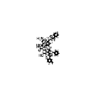 CNC(=O)[C@H](CCN(C(=O)CO)[C@@H](c1cc(-c2cc(F)ccc2F)cn1Cc1ccccc1)C(C)(C)C)NC(O)[C@H](CC(N)=O)NC(=O)[C@H](C)N(C)C(=O)[C@H](C)NC(=O)Cc1ccncc1